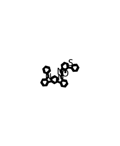 c1ccc(-n2c3ccccc3c3cc4c5ccccc5n(-c5nc6ccc7sc8ccccc8c7c6o5)c4cc32)cc1